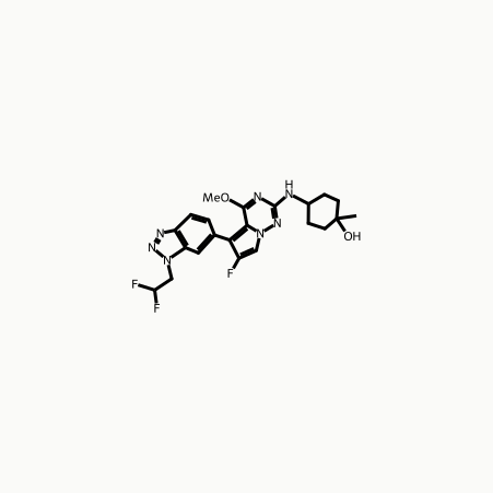 COc1nc(NC2CCC(C)(O)CC2)nn2cc(F)c(-c3ccc4nnn(CC(F)F)c4c3)c12